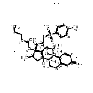 CCCOC(=O)O[C@]1(C(=O)COS(=O)(=O)c2ccc(C)cc2)[C@H](C)C[C@H]2[C@@H]3CCC4=CC(=O)C=C[C@]4(C)[C@@]3(Cl)C(O)C[C@@]21C